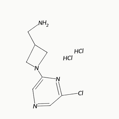 Cl.Cl.NCC1CN(c2cncc(Cl)n2)C1